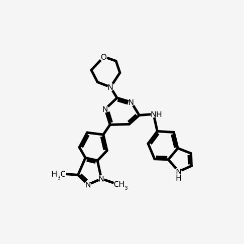 Cc1nn(C)c2cc(-c3cc(Nc4ccc5[nH]ccc5c4)nc(N4CCOCC4)n3)ccc12